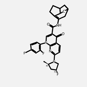 C[C@@H]1C[C@H](F)CN1c1ccc2c(=O)c(C(=O)NC3=C4CCC5CC(C3)CC45)cn(-c3ccc(F)cc3F)c2n1